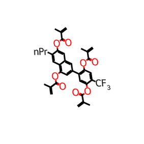 C=C(C)C(=O)Oc1cc2cc(-c3cc(OC(=O)C(=C)C)c(C(F)(F)F)cc3OC(=O)C(=C)C)cc(OC(=O)C(=C)C)c2cc1CCC